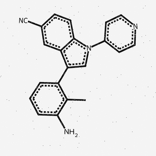 Cc1c(N)cccc1-c1cn(-c2ccncc2)c2ccc(C#N)cc12